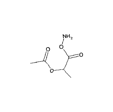 CC(=O)OC(C)C(=O)ON